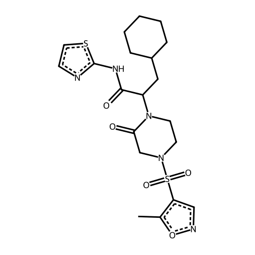 Cc1oncc1S(=O)(=O)N1CCN(C(CC2CCCCC2)C(=O)Nc2nccs2)C(=O)C1